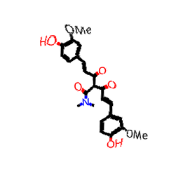 COc1cc(/C=C/C(=O)C(C(=O)/C=C/c2ccc(O)c(OC)c2)C(=O)N(C)C)ccc1O